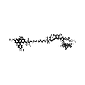 C=C(NCCSSCOCCCCCNC(=O)NCC#Cc1cn([C@H]2CC(OCS(=S)CC)[C@@H](COP(=O)(O)OP(=O)(O)OP(=O)(O)O)O2)c(=O)nc1N)c1ccc(C(=O)O)c(-c2c3ccc(=N)cc-3oc3cc(N)ccc23)c1